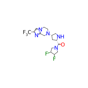 O=C([C@@H]1C[C@H](N2CCn3cc(C(F)(F)F)nc3C2)CN1)N1C[C@@H](F)[C@@H](F)C1